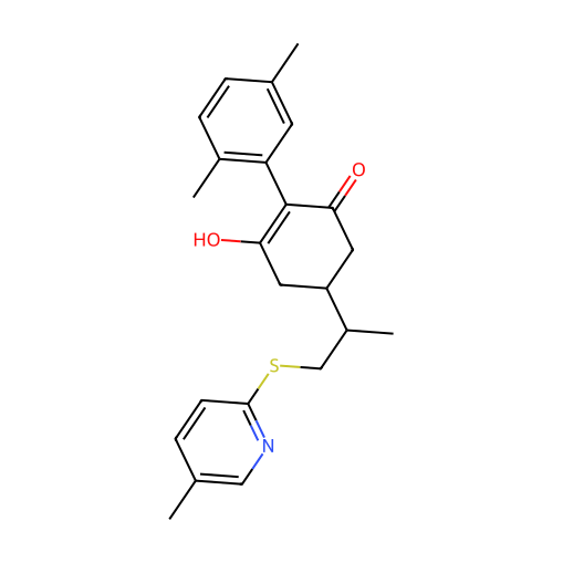 Cc1ccc(SCC(C)C2CC(=O)C(c3cc(C)ccc3C)=C(O)C2)nc1